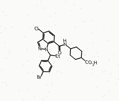 CCC(c1ccc(Br)cc1)n1ncc2c(Cl)ccc(C(=O)NC3CCC(C(=O)O)CC3)c21